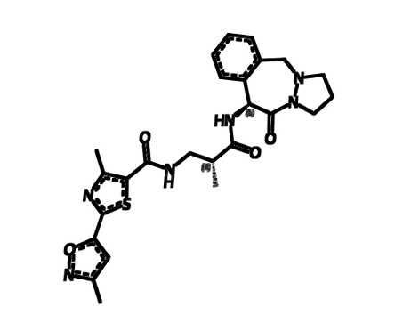 Cc1cc(-c2nc(C)c(C(=O)NC[C@@H](C)C(=O)N[C@@H]3C(=O)N4CCCN4Cc4ccccc43)s2)on1